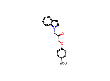 CCCCCCCCc1ccc(OCC(=O)Cn2ccc3ccccc32)cc1